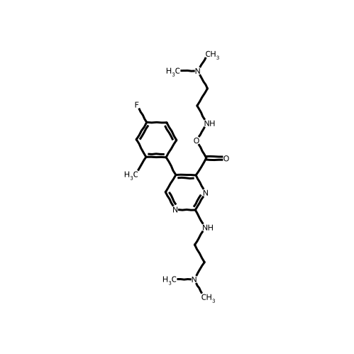 Cc1cc(F)ccc1-c1cnc(NCCN(C)C)nc1C(=O)ONCCN(C)C